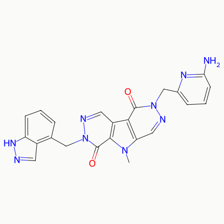 Cn1c2cnn(Cc3cccc(N)n3)c(=O)c2c2cnn(Cc3cccc4[nH]ncc34)c(=O)c21